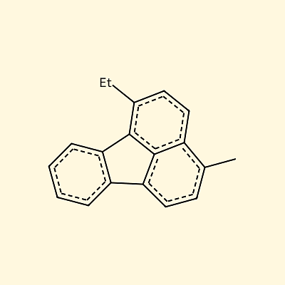 CCc1ccc2c(C)ccc3c2c1-c1ccccc1-3